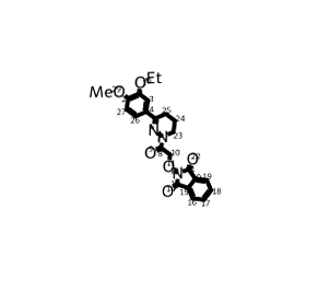 CCOc1cc(C2=NN(C(=O)CON3C(=O)c4ccccc4C3=O)CCC2)ccc1OC